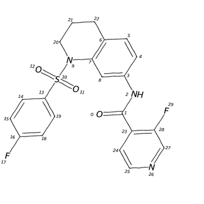 O=C(Nc1ccc2c(c1)N(S(=O)(=O)c1ccc(F)cc1)CCC2)c1ccncc1F